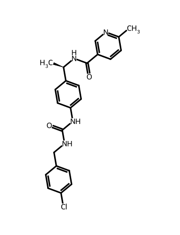 Cc1ccc(C(=O)N[C@H](C)c2ccc(NC(=O)NCc3ccc(Cl)cc3)cc2)cn1